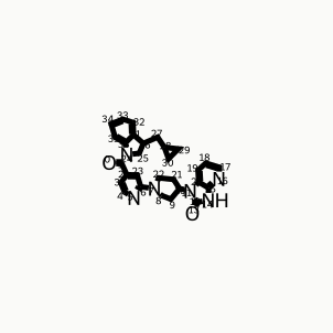 O=C(c1ccnc(N2CCC(n3c(=O)[nH]c4ncccc43)CC2)c1)N1CC(CC2CC2)c2ccccc21